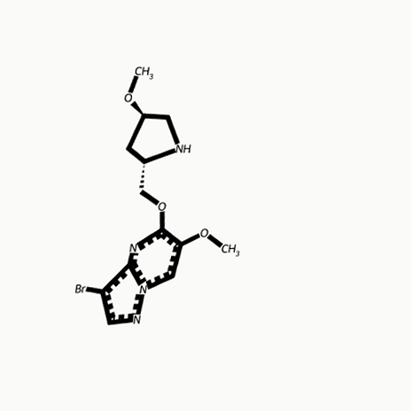 COc1cn2ncc(Br)c2nc1OC[C@@H]1C[C@@H](OC)CN1